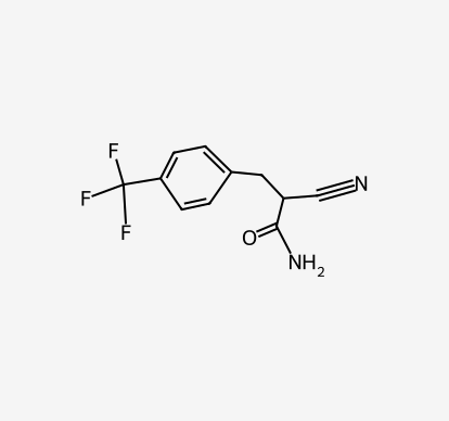 N#CC(Cc1ccc(C(F)(F)F)cc1)C(N)=O